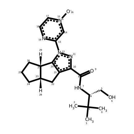 CC(C)(C)[C@@H](CO)NC(=O)c1nn(-c2c[n+]([O-])ccn2)c2c1C[C@@H]1CCC[C@H]21